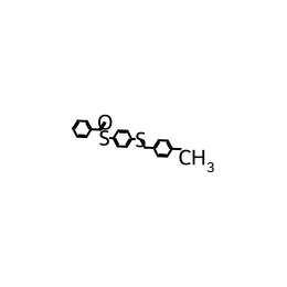 CCc1ccc(CSc2ccc(SC(=O)c3ccccc3)cc2)cc1